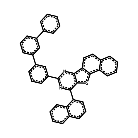 c1ccc(-c2cccc(-c3cccc(-c4nc(-c5cccc6ccccc56)c5sc6c7ccccc7ccc6c5n4)c3)c2)cc1